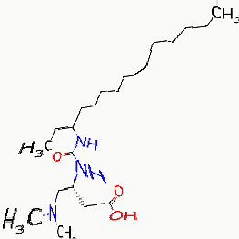 CCCCCCCCCCCC(CC)NC(=O)N[C@H](CC(=O)O)CN(C)C